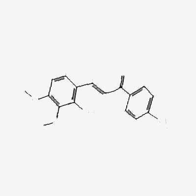 COc1ccc(C=CC(=O)c2ccc(O)cc2)c(O)c1OC